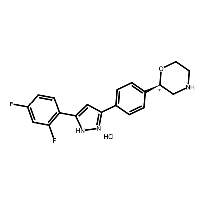 Cl.Fc1ccc(-c2cc(-c3ccc([C@@H]4CNCCO4)cc3)n[nH]2)c(F)c1